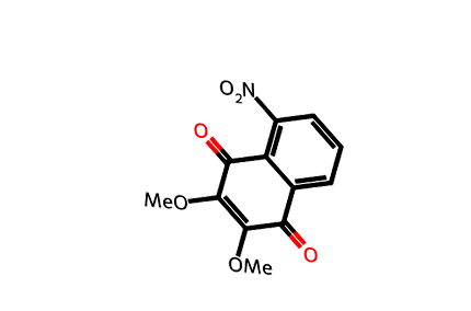 COC1=C(OC)C(=O)c2c(cccc2[N+](=O)[O-])C1=O